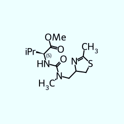 COC(=O)[C@@H](NC(=O)N(C)CC1CSC(C)=N1)C(C)C